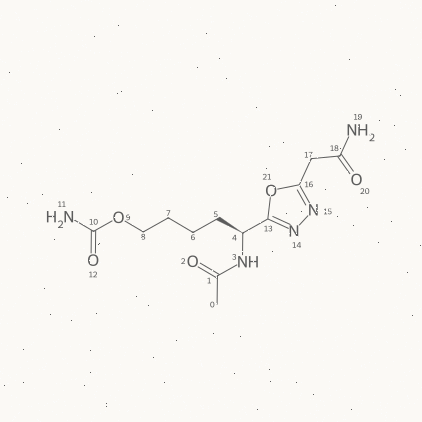 CC(=O)N[C@@H](CCCCOC(N)=O)c1nnc(CC(N)=O)o1